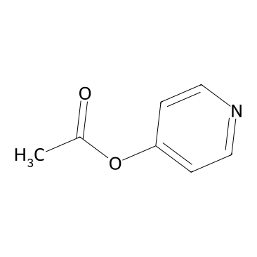 CC(=O)Oc1ccncc1